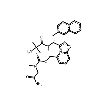 CN(CC(N)=O)C(=O)OCc1cccc2nnc([C@@H](Cc3ccc4ccccc4c3)NC(=O)C(C)(C)N)n12